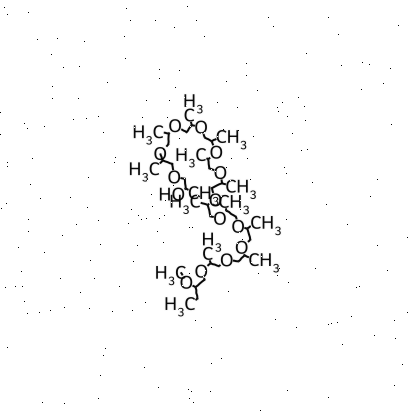 CCC(COC(C)COCC(C)OCC(C)OCC(C)OCC(C)OCC(C)OCC(C)OC(C)COC(C)COC(C)COC(C)COCC(C)O)OC